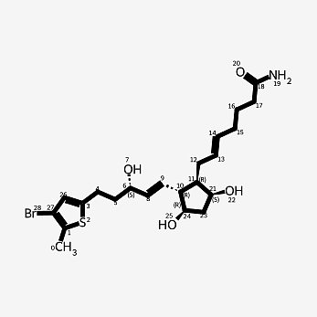 Cc1sc(CC[C@H](O)C=C[C@@H]2[C@@H](CC=CCCCC(N)=O)[C@@H](O)C[C@H]2O)cc1Br